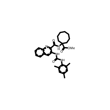 COC(=O)C1(NC(=O)c2nc3ccccc3cc2NC(=O)Nc2c(C)cc(C)cc2C)CCCCCCC1